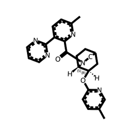 Cc1ccc(O[C@@H]2CC3CC[C@@H]2N(C(=O)c2nc(C)ccc2-c2ncccn2)C3)nc1